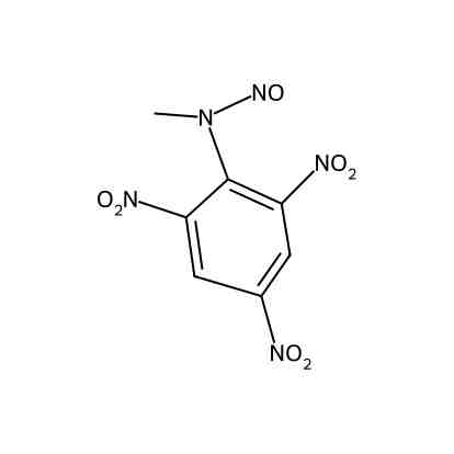 CN(N=O)c1c([N+](=O)[O-])cc([N+](=O)[O-])cc1[N+](=O)[O-]